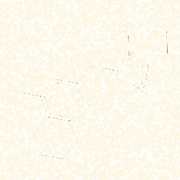 Cc1cc(Cc2scc3c2CCCC3)cc2c1CCCC2